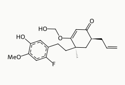 C=CC[C@H]1C[C@@](C)(CCc2cc(O)c(OC)cc2F)C(OCO)=CC1=O